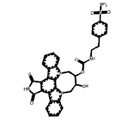 NS(=O)(=O)c1ccc(CCNC(=O)OC2Cn3c4ccccc4c4c5c(c6c7ccccc7n(c6c43)CC2O)C(=O)NC5=O)cc1